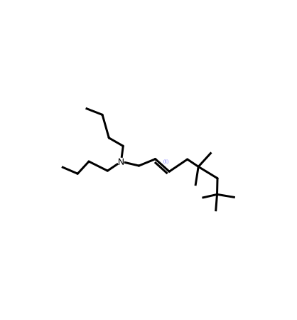 CCCCN(C/C=C/CC(C)(C)CC(C)(C)C)CCCC